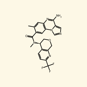 Cc1cc2nc(N)c3cncn3c2cc1C(=O)N(C)[C@H]1COCc2nc(C(F)(F)F)ccc21